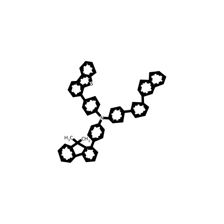 CC1(C)c2ccccc2-c2cccc(-c3ccc(N(c4ccc(-c5cccc(-c6ccc7ccccc7c6)c5)cc4)c4ccc(-c5cccc6c5sc5ccccc56)cc4)cc3)c21